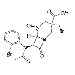 CC(=O)N(c1ccccc1Br)[C@@H]1C(=O)N2CC(CBr)(C(=O)O)C[S@+]([O-])[C@H]12